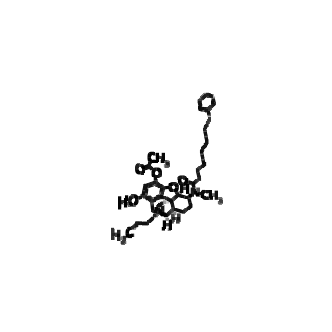 C=CCN1CC[C@]23c4c5c(O)cc(OC(C)=O)c4O[C@H]2[C@@H](N(C)C(=O)CCCCCCCc2ccccc2)CC[C@H]3[C@H]1C5